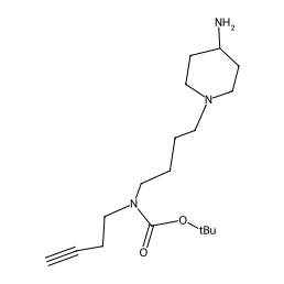 C#CCCN(CCCCN1CCC(N)CC1)C(=O)OC(C)(C)C